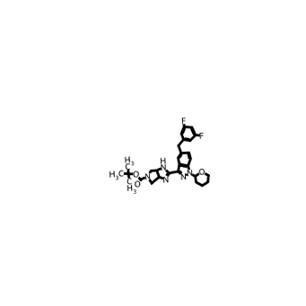 CC(C)(C)OC(=O)N1CC2N=C(c3nn(C4CCCCO4)c4ccc(Cc5cc(F)cc(F)c5)cc34)NC2C1